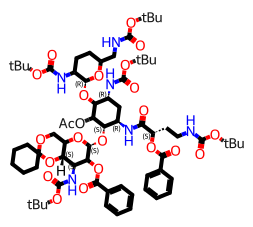 CC(=O)OC1C(O[C@H]2OC(CNC(=O)OC(C)(C)C)CCC2NC(=O)OC(C)(C)C)[C@H](NC(=O)OC(C)(C)C)C[C@@H](NC(=O)[C@H](CCNC(=O)OC(C)(C)C)OC(=O)c2ccccc2)[C@@H]1O[C@H]1OC2COC3(CCCCC3)O[C@H]2[C@H](NC(=O)OC(C)(C)C)C1OC(=O)c1ccccc1